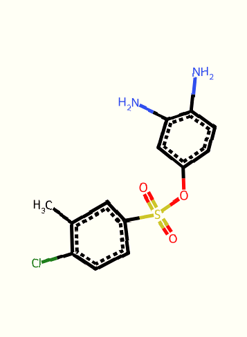 Cc1cc(S(=O)(=O)Oc2ccc(N)c(N)c2)ccc1Cl